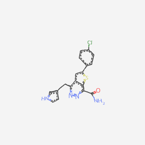 NC(=O)c1nnc(Cc2cc[nH]c2)c2cc(-c3ccc(Cl)cc3)sc12